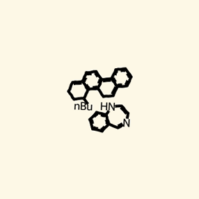 C1=CNc2ccccc2C=N1.CCCCC1CCC=c2ccc3c(c21)CC=c1ccccc1=3